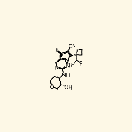 N#Cc1c(F)c2cnc(N[C@@H]3CCOC[C@H]3O)nn2c1C1(C(F)F)CCC1